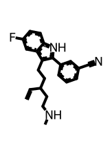 C=CC(CCNC)CCc1c(-c2cccc(C#N)c2)[nH]c2ccc(F)cc12